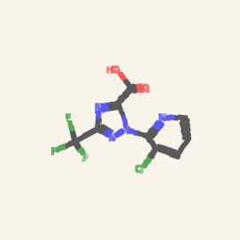 O=C(O)c1nc(C(F)(F)F)nn1-c1ncccc1Cl